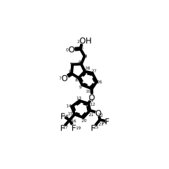 O=C(O)CC1CC(=O)c2cc(Oc3ccc(C(F)(F)F)cc3OC(F)F)ccc21